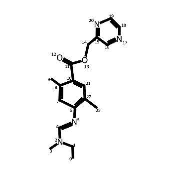 CCN(C)/C=N/c1cc(C)c(C(=O)OCc2cnccn2)cc1C